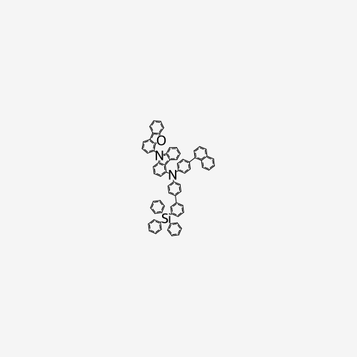 c1ccc([Si](c2ccccc2)(c2ccccc2)c2cccc(-c3ccc(N(c4ccc(-c5cccc6ccccc56)cc4)c4cccc5c4c4ccccc4n5-c4cccc5c4oc4ccccc45)cc3)c2)cc1